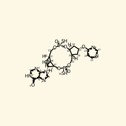 O=c1[nH]cnc2c1ncn2[C@@H]1O[C@H]2COP(=O)(S)O[C@H]3C[C@H](Oc4ccncn4)C[C@@H]3COP(=O)(S)O[C@@H]1[C@@H]2O